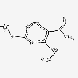 CNc1nc(SC)ncc1C(C)=O